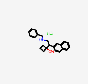 Cl.OC1(C(CNCc2ccccc2)c2ccc3ccccc3c2)CCC1